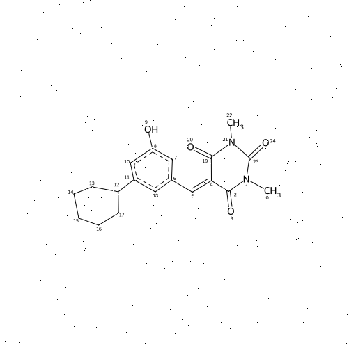 CN1C(=O)C(=Cc2cc(O)cc(C3CCCCC3)c2)C(=O)N(C)C1=O